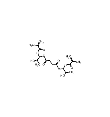 C=C(C)C(=O)OC(OC(=O)CCC(=O)OC(OC(=O)C(=C)C)C(C)O)C(C)O